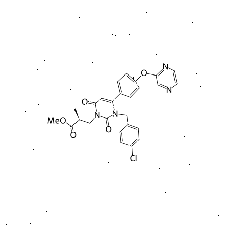 COC(=O)[C@@H](C)Cn1c(=O)cc(-c2ccc(Oc3cnccn3)cc2)n(Cc2ccc(Cl)cc2)c1=O